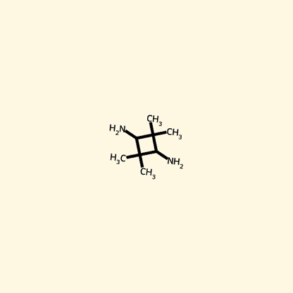 CC1(C)C(N)C(C)(C)C1N